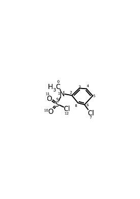 CN(c1cccc(Cl)c1)S(=O)(=O)Cl